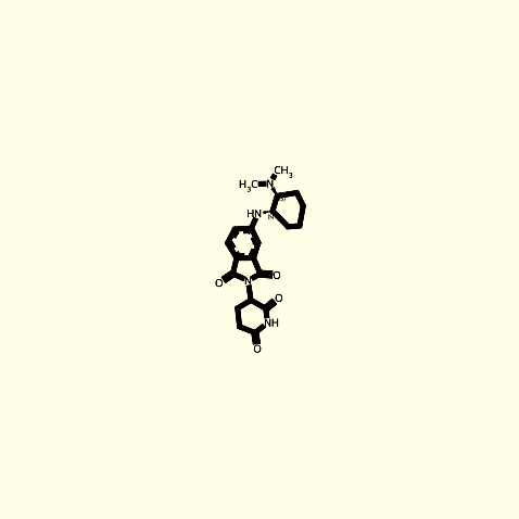 CN(C)[C@H]1CCCC[C@@H]1Nc1ccc2c(c1)C(=O)N(C1CCC(=O)NC1=O)C2=O